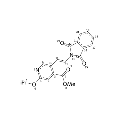 COC(=O)c1cc(OC(C)C)ncc1C=CN1C(=O)c2ccccc2C1=O